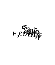 CCC1=C(c2cccs2)C(=O)N(C(C)(C)C(=O)Nc2cc(C(F)(F)F)ccc2F)CO1